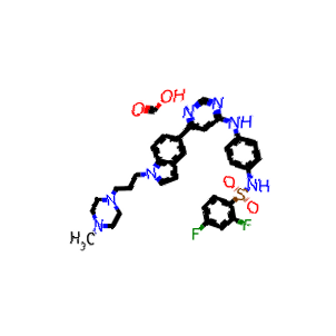 CN1CCN(CCCn2ccc3cc(-c4cc(Nc5ccc(NS(=O)(=O)c6ccc(F)cc6F)cc5)ncn4)ccc32)CC1.O=CO